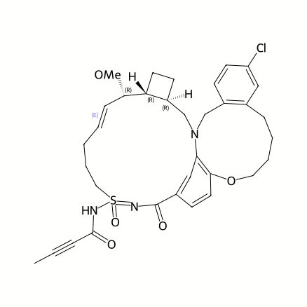 CC#CC(=O)NS1(=O)=NC(=O)c2ccc3c(c2)N(Cc2ccc(Cl)cc2CCCCO3)C[C@@H]2CC[C@H]2[C@@H](OC)/C=C/CCC1